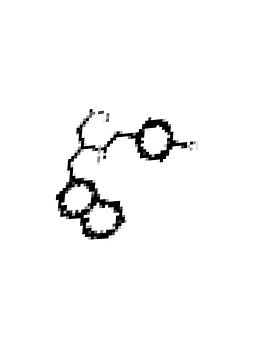 NCC(Cc1ccc2ccccc2c1)NCc1ccc(Cl)cc1